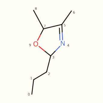 CCCC1N=C(C)C(C)O1